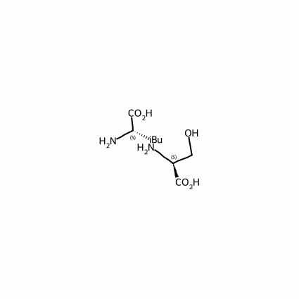 CCC(C)[C@H](N)C(=O)O.N[C@@H](CO)C(=O)O